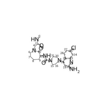 CNC(=O)CN1CCCC[C@H](NC(=O)N2CCN(c3cc(N)nc4cc(Cl)ccc34)CC2)C1=O